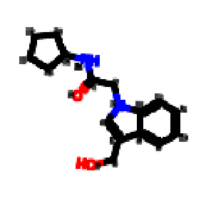 O=C(Cn1cc(CO)c2ccccc21)NC1CCCC1